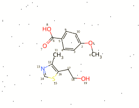 COc1ccc(C(=O)O)cc1.Cc1ncsc1CCO